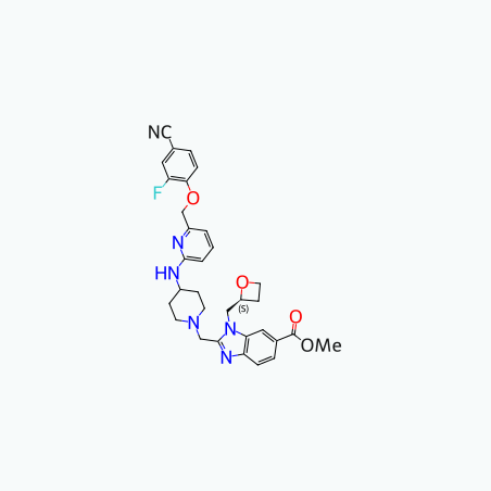 COC(=O)c1ccc2nc(CN3CCC(Nc4cccc(COc5ccc(C#N)cc5F)n4)CC3)n(C[C@@H]3CCO3)c2c1